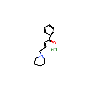 Cl.O=C(/C=C/CN1CCCCC1)c1ccccc1